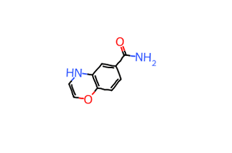 NC(=O)c1ccc2c(c1)NC=CO2